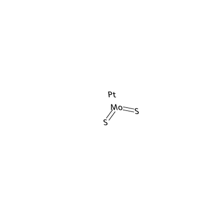 [Pt].[S]=[Mo]=[S]